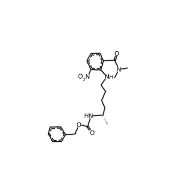 C[C@@H](CCCCNc1c(C(=O)N(C)C)cccc1[N+](=O)[O-])NC(=O)OCc1ccccc1